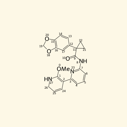 COC1=C(c2cccc(NC(=O)C3(c4ccc5c(c4)OCO5)CC3)n2)C=CCN1